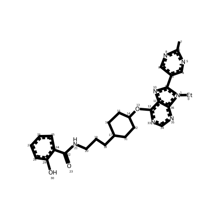 CCn1c(-c2cnc(C)nc2)nc2c(OC3CCC(CCCNC(=O)c4ccccc4O)CC3)ncnc21